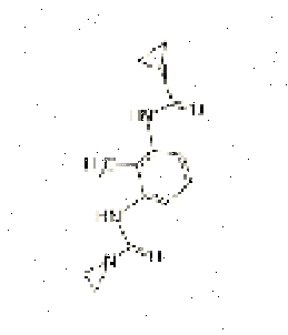 Cc1c(NC(=O)N2CC2)cccc1NC(=O)N1CC1